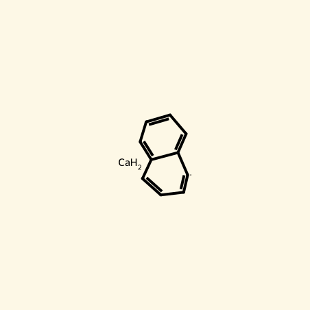 [CaH2].[c]1cccc2ccccc12